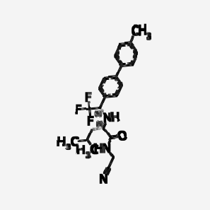 Cc1ccc(-c2ccc([C@H](N[C@@H](CC(C)C)C(=O)NCC#N)C(F)(F)F)cc2)cc1